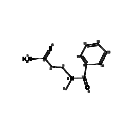 CN(CCC(N)=S)C(=O)c1ccccc1